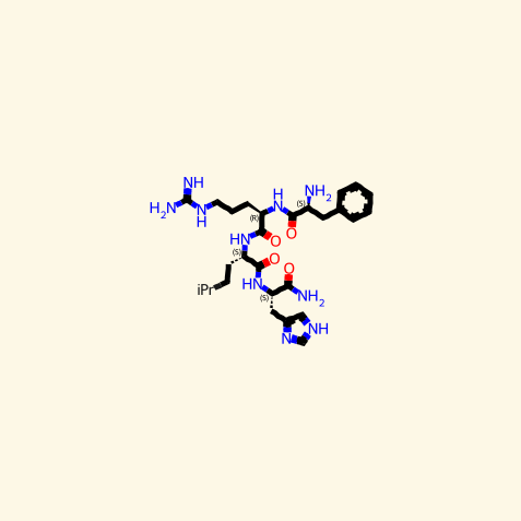 CC(C)CC[C@H](NC(=O)[C@@H](CCCNC(=N)N)NC(=O)[C@@H](N)Cc1ccccc1)C(=O)N[C@@H](Cc1c[nH]cn1)C(N)=O